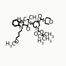 COCCCCn1c(C(=O)N(C(C)C)[C@H]2C[C@@H](C(=O)N3CCOCC3)CN(C(=O)OC(C)(C)C)C2)nc2ccccc21